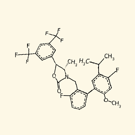 COc1cc(F)c(C(C)C)cc1-c1cccc(F)c1CN1C(=O)OC(c2cc(C(F)(F)F)cc(C(F)(F)F)c2)[C@@H]1C